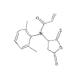 C=CC(=O)N(c1c(C)cccc1C)C1CC(=O)OC1=S